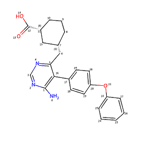 Nc1ncnc(C[C@H]2CCC[C@@H](C(=O)O)C2)c1-c1ccc(Oc2ccccc2)cc1